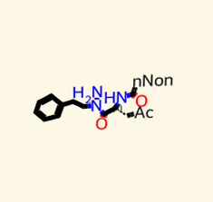 CCCCCCCCCC(=O)N[C@H](CC(C)=O)C(=O)N(N)CCc1ccccc1